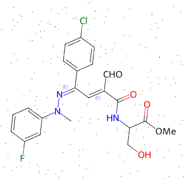 COC(=O)C(CO)NC(=O)/C(C=O)=C/C(=N\N(C)c1cccc(F)c1)c1ccc(Cl)cc1